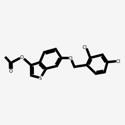 CC(=O)Oc1csc2cc(OCc3ccc(Cl)cc3Cl)ccc12